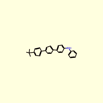 CC(C)(C)c1ccc(-c2ccc(-c3ccc(Nc4ccccc4)cc3)cc2)cc1